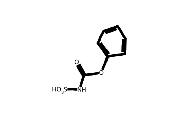 O=C(NS(=O)(=O)O)Oc1ccccc1